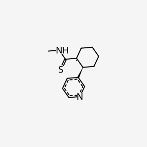 CNC(=S)[C]1CCCC[C@H]1c1cccnc1